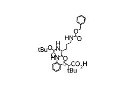 CC(C)(C)OC(=O)N[C@@H](CCCNC(=O)OCc1ccccc1)C(=O)Nc1ccccc1SC(C(=O)O)C(C)(C)C